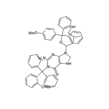 COc1ccc(C(OC(CC(C)CO)N2CNc3c2nc(N)n(C(c2ccccc2)(c2ccccc2)c2ccccc2OC)c3=O)(c2ccccc2)c2ccccc2)cc1